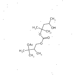 CC(=O)OC(C)(C)C(C)COC(=O)OC(C)(C)CC(C)O